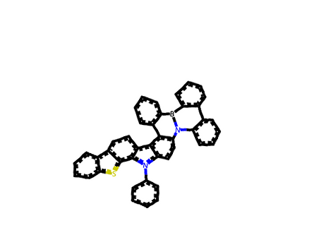 c1ccc(-n2c3ccc4c(c3c3ccc5c6ccccc6sc5c32)-c2ccccc2B2c3ccccc3-c3ccccc3N24)cc1